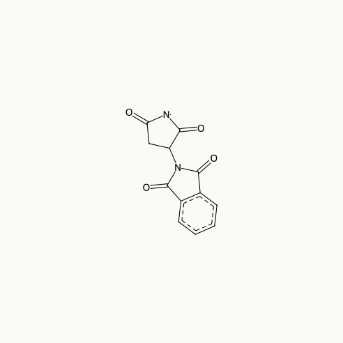 O=C1CC(N2C(=O)c3ccccc3C2=O)C(=O)[N]1